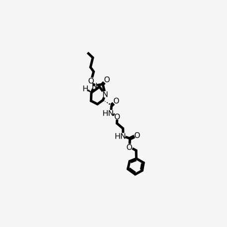 CCCCON1C(=O)N2C[C@@H]1CC[C@H]2C(=O)NOCCNC(=O)OCc1ccccc1